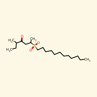 CCCCCCCCCCCCS(=O)(=O)C(C)CC(=O)C(C)CC